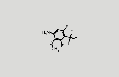 COc1c(N)cc(F)c(C(F)(F)F)c1F